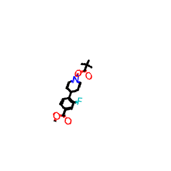 COC(=O)c1ccc(C2CCN(OC(=O)C(C)(C)C)CC2)c(F)c1